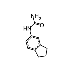 NC(=O)Nc1ccc2c(c1)CCC2